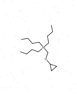 CCC[CH2][Sn]([CH2]CCC)([CH2]CCC)[CH2]OC1CC1